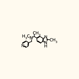 Cc1nc2cc(C(C)N(C)Cc3ccncc3)ccc2[nH]1